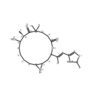 C/C(=C\C1=CSC(C)N1)C1CC2NC2CCCCC(O)[C@@H](C)C(=O)C(C)(C)CCC(=O)O1